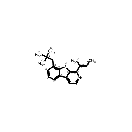 C/C=C(\C)c1nccc2c1sc1c(CC(C)(C)C)cccc12